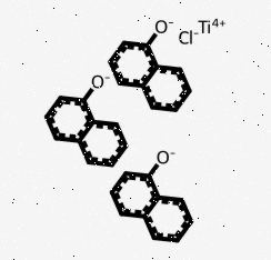 [Cl-].[O-]c1cccc2ccccc12.[O-]c1cccc2ccccc12.[O-]c1cccc2ccccc12.[Ti+4]